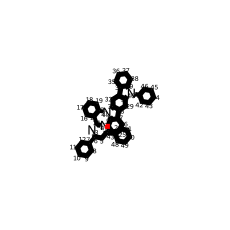 c1ccc(-c2cc(-c3ccccc3)nc(-c3ccccc3-n3c4ccccc4c4cc5c(cc43)c3ccccc3n5-c3ccccc3)n2)cc1